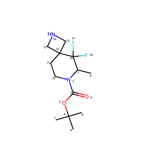 CC1N(C(=O)OC(C)(C)C)CCC2(CNC2)C1(F)F